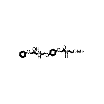 COCCNC(=O)COc1ccc(OCCNC[C@@H](O)COc2ccccc2)cc1